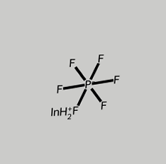 F[P-](F)(F)(F)(F)F.[InH2+]